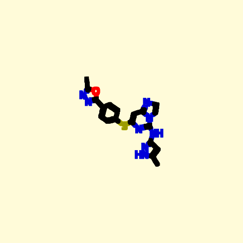 Cc1cc(Nc2nc(Sc3ccc(-c4nnc(C)o4)cc3)cc3nccn23)n[nH]1